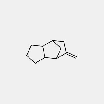 C=C1CC2CC1C1CC[CH]C21